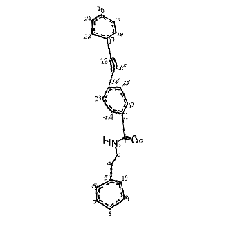 O=C(NCCc1ccccc1)c1ccc(C#Cc2ccccc2)cc1